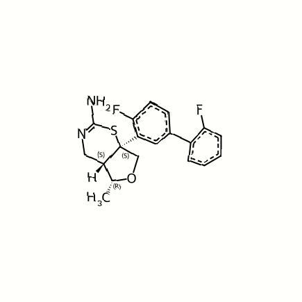 C[C@H]1OC[C@]2(c3cc(-c4ccccc4F)ccc3F)SC(N)=NC[C@@H]12